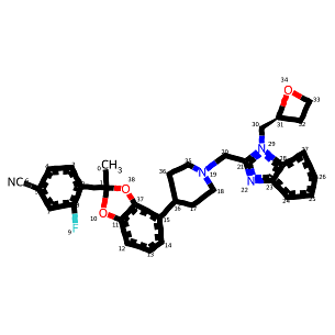 CC1(c2ccc(C#N)cc2F)Oc2cccc(C3CCN(Cc4nc5ccccc5n4C[C@@H]4CCO4)CC3)c2O1